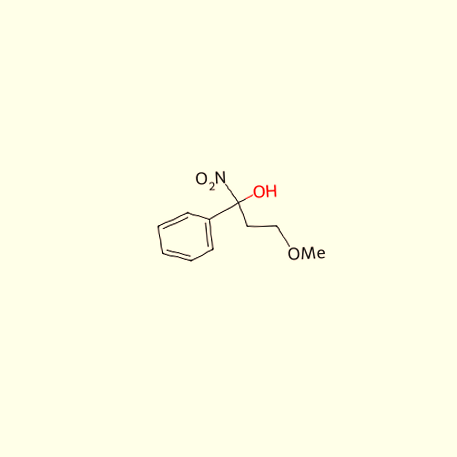 COCCC(O)(c1ccccc1)[N+](=O)[O-]